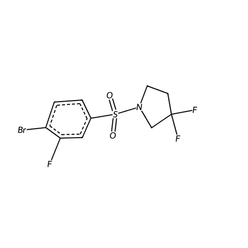 O=S(=O)(c1ccc(Br)c(F)c1)N1CCC(F)(F)C1